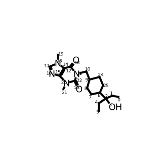 CCC(O)(CC)C1CCC(Cn2c(=O)c3c(ncn3C)n(C)c2=O)CC1